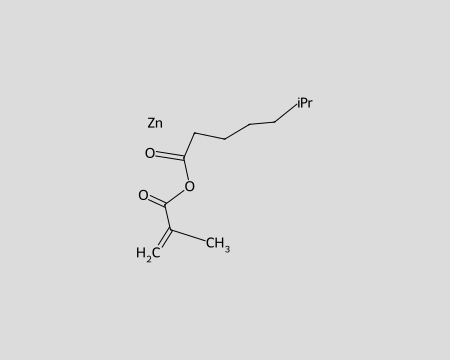 C=C(C)C(=O)OC(=O)CCCCC(C)C.[Zn]